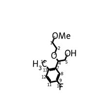 COCCOC(CO)c1cc(F)ccc1C